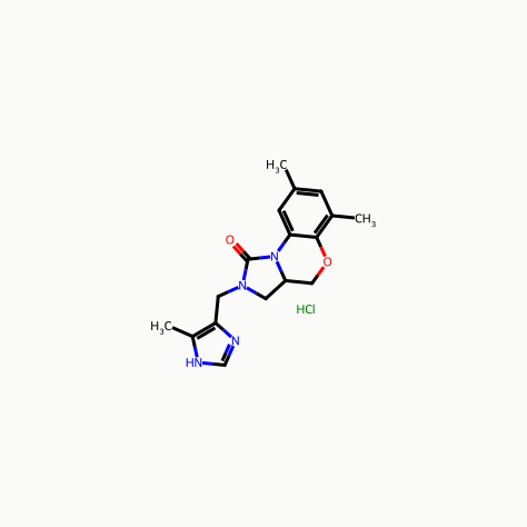 Cc1cc(C)c2c(c1)N1C(=O)N(Cc3nc[nH]c3C)CC1CO2.Cl